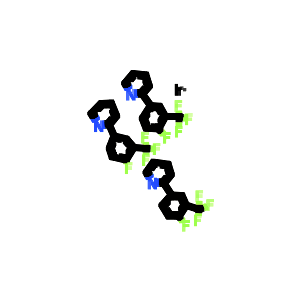 Fc1ccc(-c2ccccn2)cc1C(F)(F)F.Fc1ccc(-c2ccccn2)cc1C(F)(F)F.Fc1ccc(-c2ccccn2)cc1C(F)(F)F.[Ir]